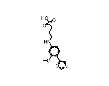 COc1cc(NCCCS(=O)(=O)O)ccc1-c1cnco1